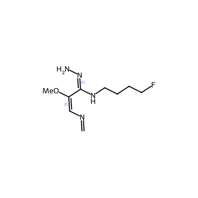 C=N/C=C(OC)\C(=N/N)NCCCCF